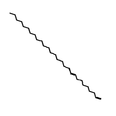 C=CCCCCCCC=CCCCCCCCCCCCCCCCCCC